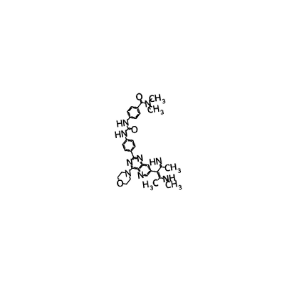 CN/C(C)=C(\C(C)=N)c1cnc2c(N3CCOCC3)nc(-c3ccc(NC(=O)Nc4ccc(C(=O)N(C)C)cc4)cc3)nc2c1